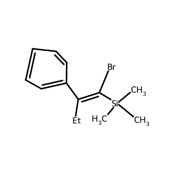 CCC(=C(Br)[Si](C)(C)C)c1ccccc1